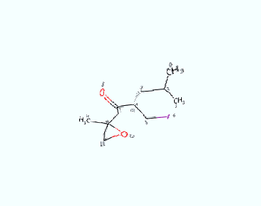 CC(C)C[C@H](CI)C(=O)C1(C)CO1